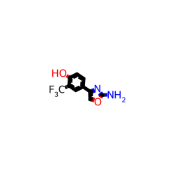 Nc1nc(-c2ccc(O)c(C(F)(F)F)c2)co1